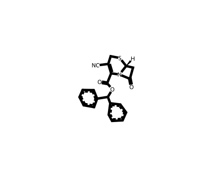 N#CC1=C(C(=O)OC(c2ccccc2)c2ccccc2)N2C(=O)C[C@H]2SC1